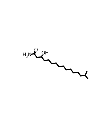 CC(C)CCCCCCCCCCCC(O)CC(N)=O